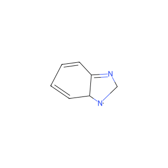 C1=CC2=NC[N]C2C=C1